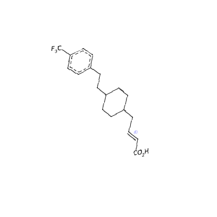 O=C(O)/C=C/CC1CCC(CCc2ccc(C(F)(F)F)cc2)CC1